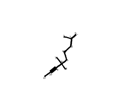 [CH2]C(C)CCCC(C)(C)C#CC